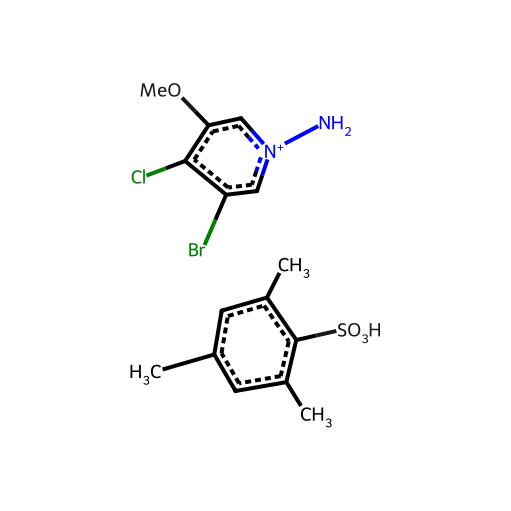 COc1c[n+](N)cc(Br)c1Cl.Cc1cc(C)c(S(=O)(=O)O)c(C)c1